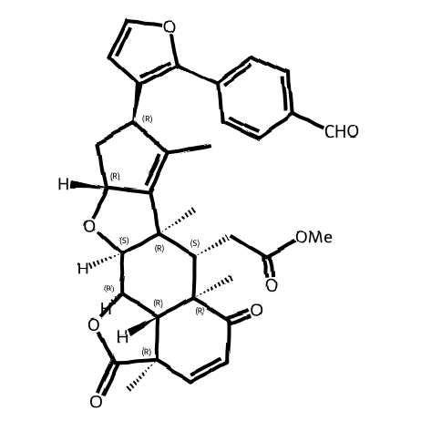 COC(=O)C[C@H]1[C@]2(C)C3=C(C)[C@H](c4ccoc4-c4ccc(C=O)cc4)C[C@H]3O[C@@H]2[C@@H]2OC(=O)[C@]3(C)C=CC(=O)[C@@]1(C)[C@@H]23